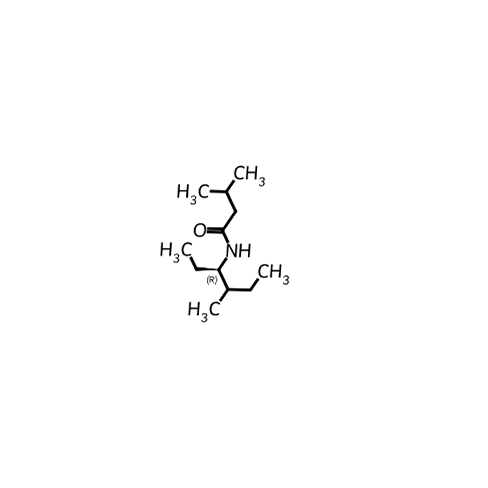 CCC(C)[C@@H](CC)NC(=O)CC(C)C